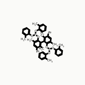 Cc1ccccc1OP(Oc1ccccc1C)Oc1c(C)cc(C(C)C)c(C)c1-c1c(C)c(C(C)C)cc(C)c1OP(Oc1ccccc1C)Oc1ccccc1C